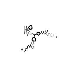 CCCC(c1ccc(OCC(=O)OCC)cc1)c1ccc(OCC(=O)OCC)cc1.NCc1ccccc1